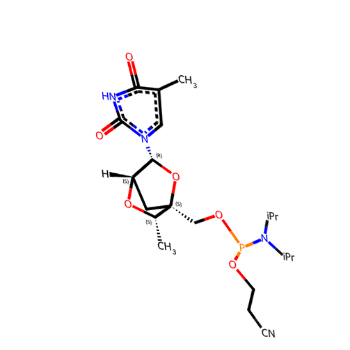 Cc1cn([C@@H]2O[C@]3(COP(OCCC#N)N(C(C)C)C(C)C)C[C@@H]2O[C@H]3C)c(=O)[nH]c1=O